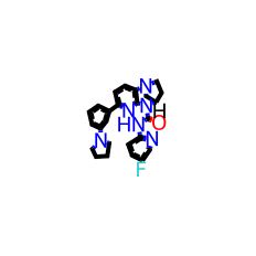 O=C(Nc1ccc(F)cn1)N1c2nc(-c3cccc(N4CCCC4)c3)ccc2N2CC[C@H]1C2